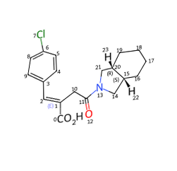 O=C(O)/C(=C/c1ccc(Cl)cc1)CC(=O)N1C[C@H]2CCCC[C@H]2C1